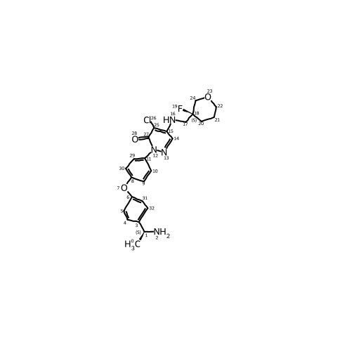 C[C@H](N)c1ccc(Oc2ccc(-n3ncc(NC[C@@]4(F)CCCOC4)c(Cl)c3=O)cc2)cc1